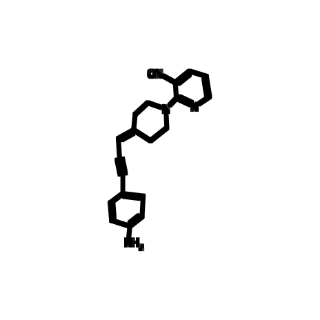 Nc1ccc(C#CC=C2CCN(c3ncccc3N=O)CC2)cc1